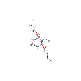 [CH2]Cc1c(OCCCC)cccc1OCCCC